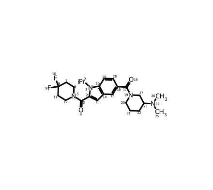 CC(C)n1c(C(=O)N2CCC(F)(F)CC2)cc2cc(C(=O)N3CCCC(N(C)C)C3)ccc21